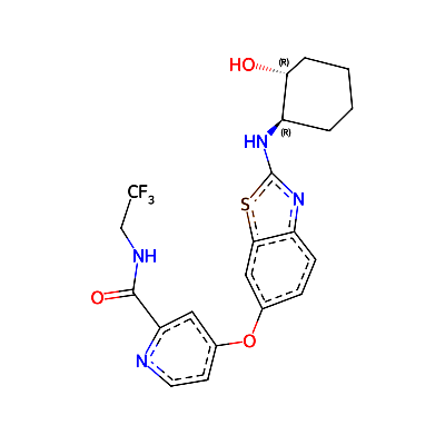 O=C(NCC(F)(F)F)c1cc(Oc2ccc3nc(N[C@@H]4CCCC[C@H]4O)sc3c2)ccn1